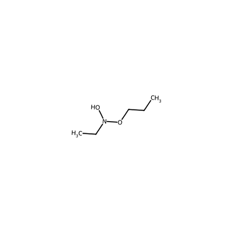 CCCON(O)CC